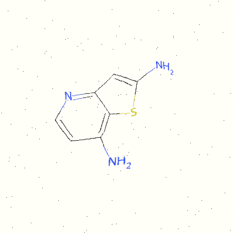 Nc1cc2nccc(N)c2s1